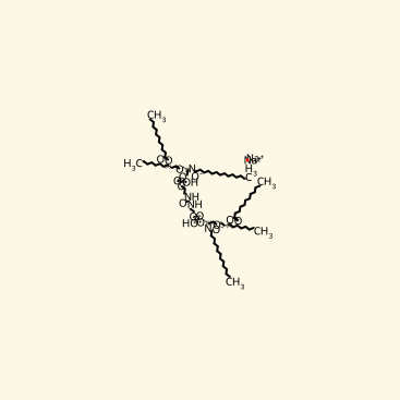 CCCCCCCCCCCCCC([O-])=N[C@@H](COCC[C@@H](CCCCCCC)OC(=O)CCCCCCCCCCC)COP(=O)(O)OCCNC(=O)NCCOP(=O)(O)OC[C@H](COCC[C@@H](CCCCCCC)OC(=O)CCCCCCCCCCC)N=C([O-])CCCCCCCCCCCCC.[Na+].[Na+]